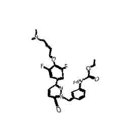 CCOC(=O)Nc1cccc(Cn2nc(-c3cc(F)c(OCCCCN(C)C)c(F)c3)ccc2=O)c1